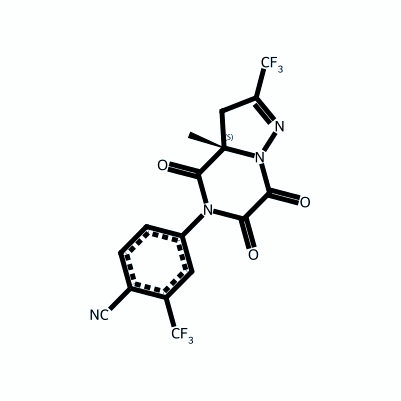 C[C@@]12CC(C(F)(F)F)=NN1C(=O)C(=O)N(c1ccc(C#N)c(C(F)(F)F)c1)C2=O